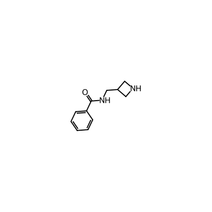 O=C(NCC1CNC1)c1ccccc1